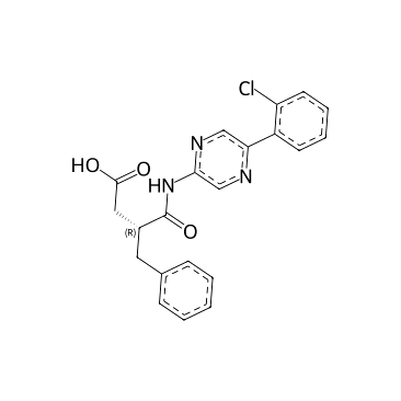 O=C(O)C[C@@H](Cc1ccccc1)C(=O)Nc1cnc(-c2ccccc2Cl)cn1